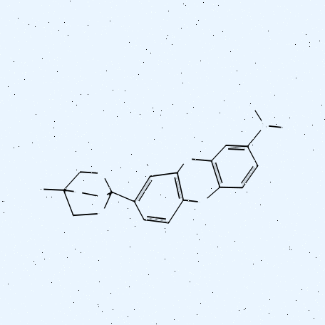 CN(C)c1ccc2c(c1)Oc1cc(C34OCC(C)(CO3)CO4)ccc1O2